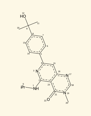 CC(C)Nc1nc(-c2ccc(C(C)(C)O)cc2)cc2ncn(C)c(=O)c12